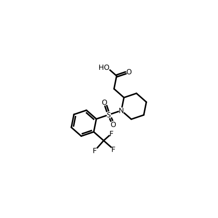 O=C(O)CC1CCCCN1S(=O)(=O)c1ccccc1C(F)(F)F